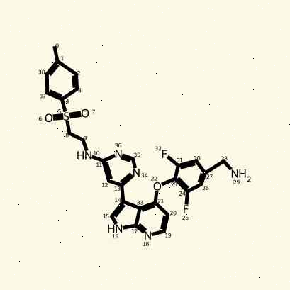 Cc1ccc(S(=O)(=O)CCNc2cc(-c3c[nH]c4nccc(Oc5c(F)cc(CN)cc5F)c34)ncn2)cc1